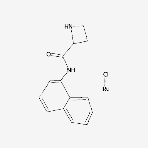 O=C(Nc1cccc2ccccc12)C1CCN1.[Cl][Ru]